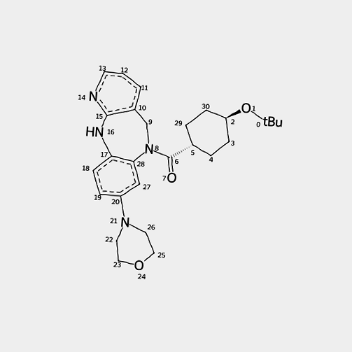 CC(C)(C)O[C@H]1CC[C@H](C(=O)N2Cc3cccnc3Nc3ccc(N4CCOCC4)cc32)CC1